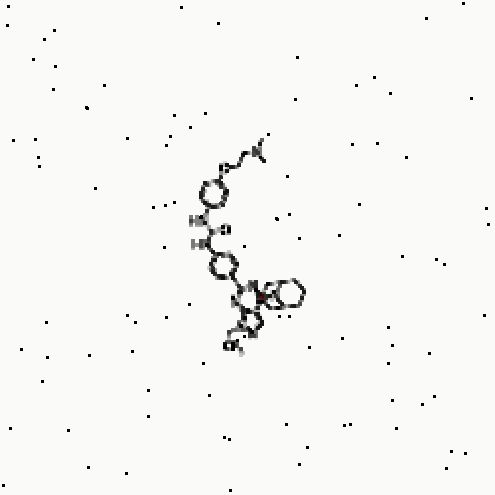 CN(C)CCOc1ccc(NC(=O)Nc2ccc(-c3nc(N4C5CCCC4COC5)c4cnn(CC(F)(F)F)c4n3)cc2)cc1